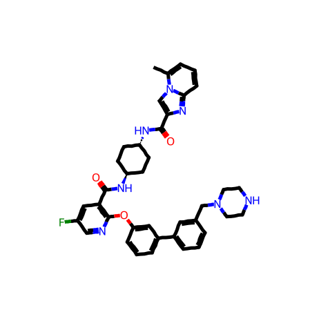 Cc1cccc2nc(C(=O)N[C@H]3CC[C@H](NC(=O)c4cc(F)cnc4Oc4cccc(-c5cccc(CN6CCNCC6)c5)c4)CC3)cn12